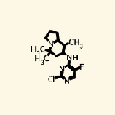 CC1C(Nc2nc(Cl)ncc2F)CC(C)(C)N2CCCC12